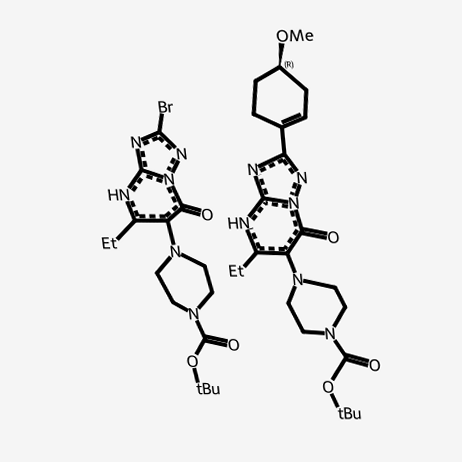 CCc1[nH]c2nc(Br)nn2c(=O)c1N1CCN(C(=O)OC(C)(C)C)CC1.CCc1[nH]c2nc(C3=CC[C@H](OC)CC3)nn2c(=O)c1N1CCN(C(=O)OC(C)(C)C)CC1